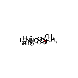 CCC(C)C(N)C(=O)N(C)C1CCC2(C)C(=CCC3C2CCC24CN(C)C(C)C2CCC34)C1